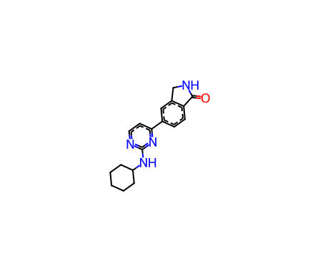 O=C1NCc2cc(-c3ccnc(NC4CCCCC4)n3)ccc21